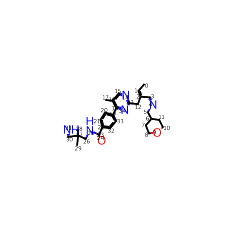 C/C=C(\C=N/CC1CCOCC1)Cc1ncc(C)c(-c2ccc(C(=O)NCC(C)(C)C=N)cc2)n1